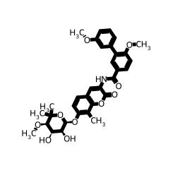 COc1cccc(-c2cc(C(=O)Nc3cc4ccc(O[C@@H]5OC(C)(C)[C@H](OC)[C@@H](O)[C@@H]5O)c(C)c4oc3=O)ccc2OC)c1